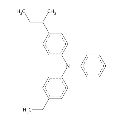 CCc1ccc(N(c2ccccc2)c2ccc(C(C)CC)cc2)cc1